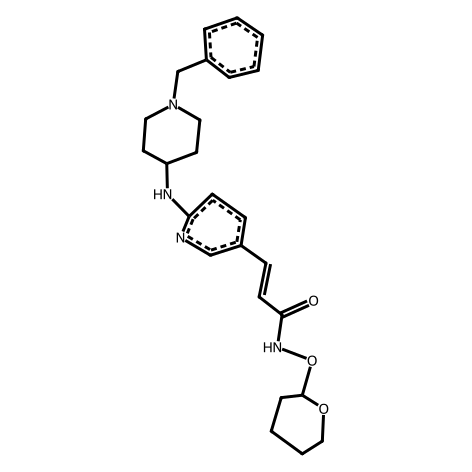 O=C(/C=C/c1ccc(NC2CCN(Cc3ccccc3)CC2)nc1)NOC1CCCCO1